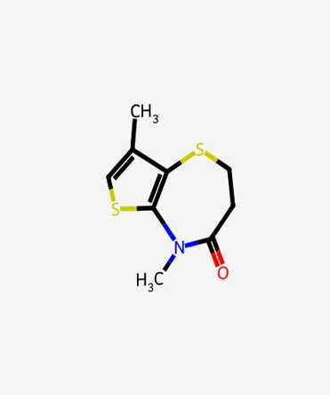 Cc1csc2c1SCCC(=O)N2C